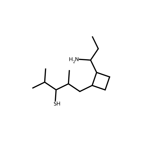 CCC(N)C1CCC1CC(C)C(S)C(C)C